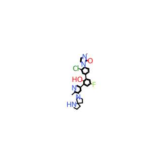 Cc1ncc(-c2cc(F)cc(-c3ccc(-n4ccn(C)c4=O)c(Cl)c3)c2O)cc1N1CCC2(CCCN2)C1